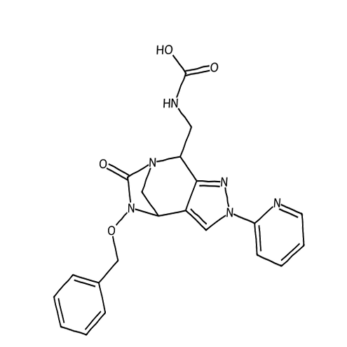 O=C(O)NCC1c2nn(-c3ccccn3)cc2C2CN1C(=O)N2OCc1ccccc1